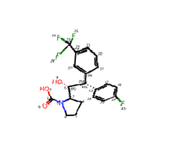 O=C(O)N1CCCC1[C@H](O)[C@@H](c1ccc(F)cc1)c1cccc(C(F)(F)F)c1